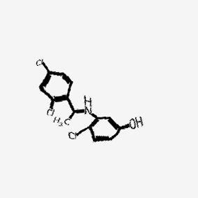 CC(Nc1cc(O)ccc1Cl)c1ccc(Cl)cc1Cl